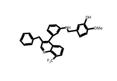 COc1ccc(CNc2cccc(-c3c(Cc4ccccc4)cnc4c(C(F)(F)F)cccc34)c2)cc1O